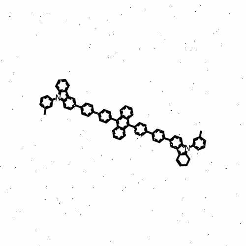 Cc1cccc(-n2c3c(c4cc(-c5ccc(-c6ccc(-c7c8ccccc8c(-c8ccc(-c9ccc(-c%10ccc%11c(c%10)c%10ccccc%10n%11-c%10cccc(C)c%10)cc9)cc8)c8ccccc78)cc6)cc5)ccc42)C=CCC3)c1